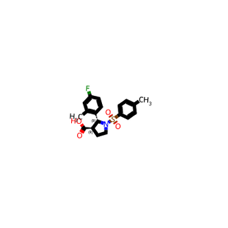 Cc1ccc(S(=O)(=O)N2CC[C@@H](C(=O)O)[C@@H]2c2ccc(F)cc2C)cc1